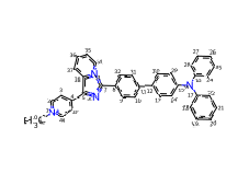 C[n+]1ccc(-c2nc(-c3ccc(-c4ccc(N(c5ccccc5)c5ccccc5)cc4)cc3)n3ccccc23)cc1